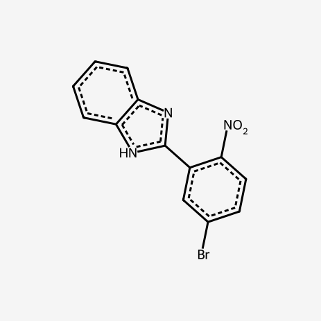 O=[N+]([O-])c1ccc(Br)cc1-c1nc2ccccc2[nH]1